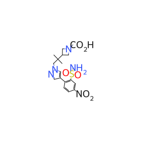 CC(C)(Cn1cc(-c2ccc([N+](=O)[O-])cc2S(N)(=O)=O)cn1)C1CN(C(=O)O)C1